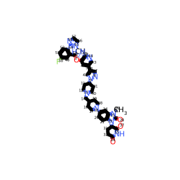 C[C@@H](Oc1cc(-c2cnn(C3CCN(CC4CCN(c5ccc6c(c5)n(C)c(=O)n6C5CCC(=O)NC5=O)CC4)CC3)c2)cnc1N)c1cc(F)ccc1-n1nccn1